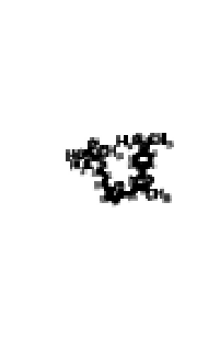 Cc1oc(-c2ccc(N(C)C)cc2)nc1Cc1ccc(C=CCSC(C)(C)C(=O)O)o1